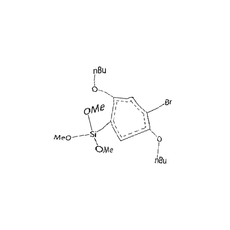 CCCCOc1cc([Si](OC)(OC)OC)c(OCCCC)cc1Br